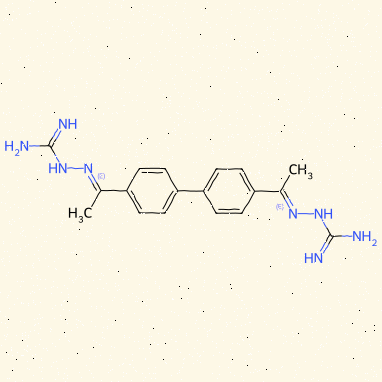 C/C(=N\NC(=N)N)c1ccc(-c2ccc(/C(C)=N/NC(=N)N)cc2)cc1